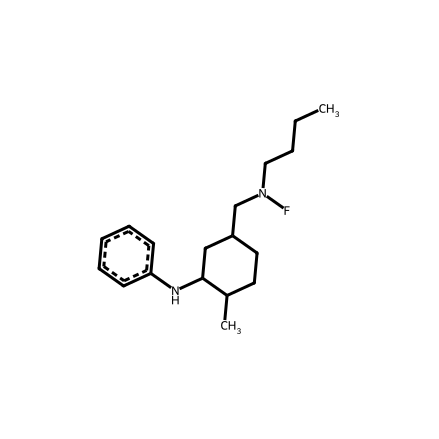 CCCCN(F)CC1CCC(C)C(Nc2ccccc2)C1